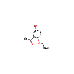 CCC(=O)c1cc(Br)ccc1OCOC